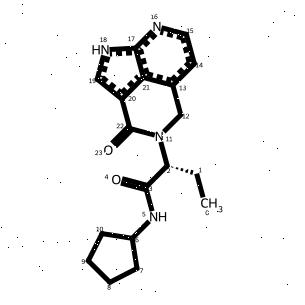 CC[C@H](C(=O)NC1CCCC1)N1Cc2ccnc3[nH]cc(c23)C1=O